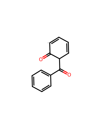 O=C1[C]=CC=CC1C(=O)c1ccccc1